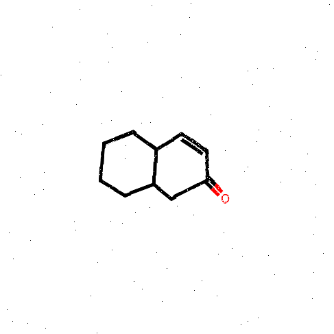 O=C1C=CC2CCCCC2C1